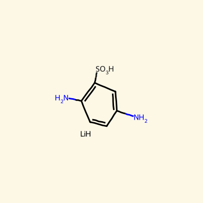 Nc1ccc(N)c(S(=O)(=O)O)c1.[LiH]